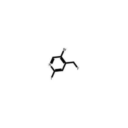 FCc1cc(I)ncc1Br